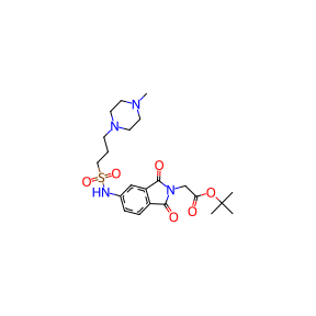 CN1CCN(CCCS(=O)(=O)Nc2ccc3c(c2)C(=O)N(CC(=O)OC(C)(C)C)C3=O)CC1